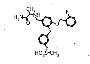 CS(=O)(=O)O.C[C@@H](NCc1ccc(OCc2ccccc2F)c(Cc2cccc(F)c2)c1)C(N)=O